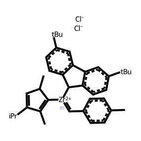 CC1=[C](/[Zr+2](=[CH]/c2ccc(C)cc2)[CH]2c3ccc(C(C)(C)C)cc3-c3cc(C(C)(C)C)ccc32)C(C)C=C1C(C)C.[Cl-].[Cl-]